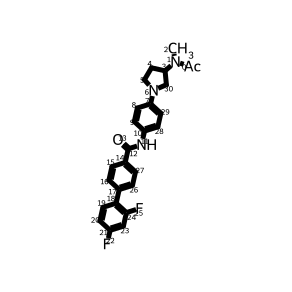 CC(=O)N(C)C1CCN(c2ccc(NC(=O)c3ccc(-c4ccc(F)cc4F)cc3)cc2)C1